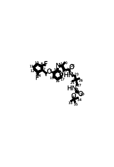 Cc1nc2c(OCc3c(F)cccc3F)cccn2c1C(=O)NCC(C)(C)CNC(=O)OC(C)(C)C